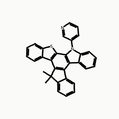 CC1(C)c2ccccc2-c2c1c1c3ccccc3sc1c1c2c2ccccc2n1-c1cccnc1